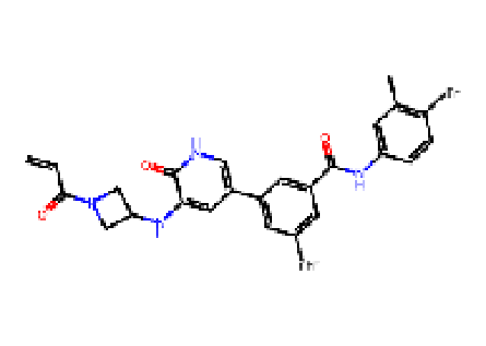 C=CC(=O)N1CC(Nc2cc(-c3cc(CCC)cc(C(=O)Nc4ccc(C(C)C)c(C)c4)c3)c[nH]c2=O)C1